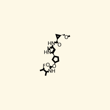 COC[C@H]1C[C@@H]1C(=O)Nc1cc([C@H]2CC[C@@H](OC(=O)NC(C)C(C)F)C2)[nH]n1